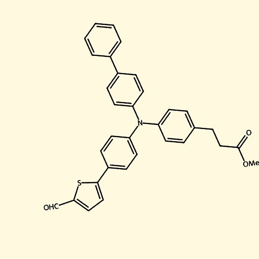 COC(=O)CCc1ccc(N(c2ccc(-c3ccccc3)cc2)c2ccc(-c3ccc(C=O)s3)cc2)cc1